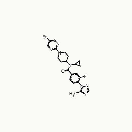 CCc1cnc(N2CCC(N(C(=O)c3ccc(-n4ncnc4C)c(F)c3)C3CC3)CC2)nc1